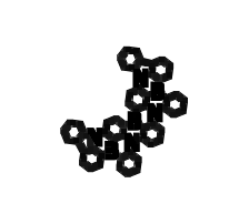 c1ccc2c(c1)B1c3c(ccc4c3N2c2cccc3c2B4c2ccc4c5c2N3c2ccccc2B5c2cccc3c5ccccc5n-4c23)-n2c3ccccc3c3cccc1c32